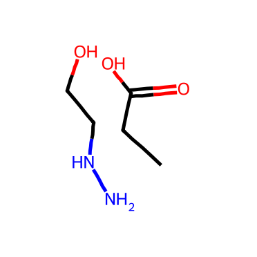 CCC(=O)O.NNCCO